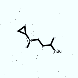 CCCCC(C)CCN(C)C1CC1